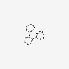 COC(C=O)c1ccccc1-c1ccccc1